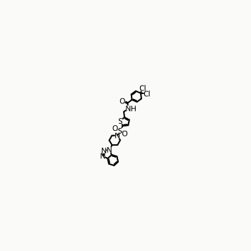 O=C(NCc1ccc(S(=O)(=O)N2CCC(n3nnc4ccccc43)CC2)s1)C1=CCC(Cl)(Cl)C=C1